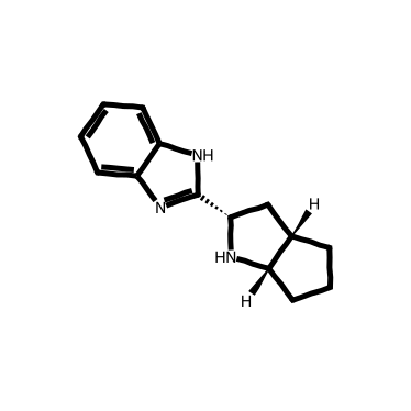 c1ccc2[nH]c([C@@H]3C[C@@H]4CCC[C@@H]4N3)nc2c1